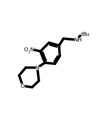 CC(C)(C)NCc1ccc(N2CCOCC2)c([N+](=O)[O-])c1